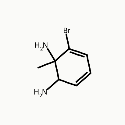 CC1(N)C(Br)=CC=CC1N